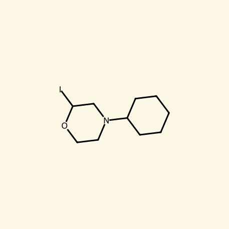 IC1CN(C2CCCCC2)CCO1